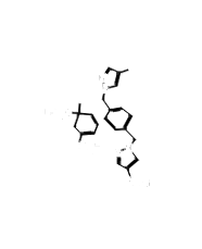 CC1(C(=O)O)C=CC=C(C(=O)O)C1.Cc1cnn(Cc2ccc(Cn3cc(C(=O)O)cn3)cc2)c1